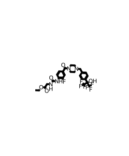 CCOC(=O)CNC(=O)Nc1ccc(C(=O)N2CCN(Cc3ccc(C(O)(C(F)(F)F)C(F)(F)F)cc3)CC2)cc1F